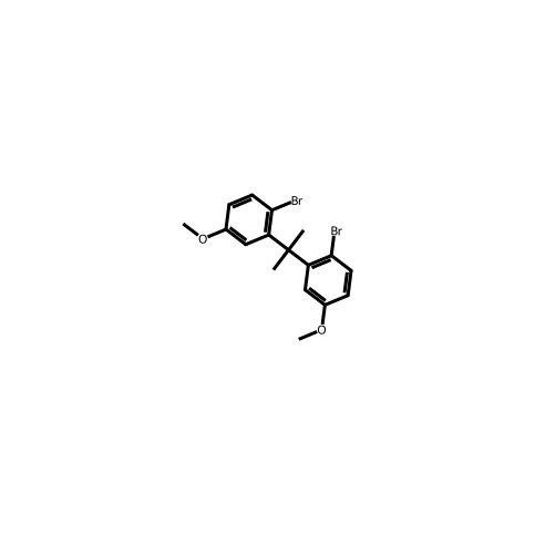 COc1ccc(Br)c(C(C)(C)c2cc(OC)ccc2Br)c1